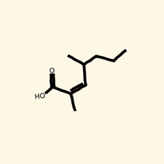 CCC[C](C)C=C(C)C(=O)O